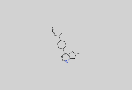 C=C=CC(C)C1CCC(c2ccnc3c2CC(C)C3)CC1